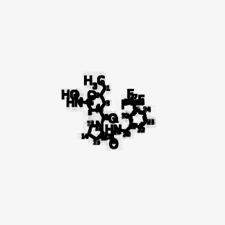 CCCC[C@H](CC(=O)NO)C(=O)N1CCC[C@H]1C(=O)NCc1cccc(C(F)(F)F)c1